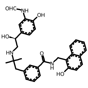 CC(C)(Cc1cccc(C(=O)NCc2c(O)ccc3ccccc23)c1)NC[C@@H](O)c1ccc(O)c(NC=O)c1